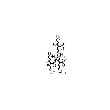 CCCCC(C(=O)[O-])C(=O)CC.CCCCC(C(=O)[O-])C(=O)CC.CCCCC(C(=O)[O-])C(=O)CC.[Fe+3]